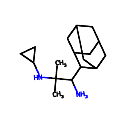 CC(C)(NC1CC1)C(N)C1C2CC3CC(C2)CC1C3